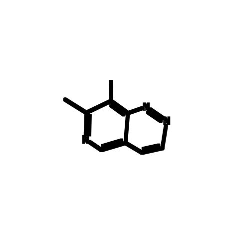 Cc1ncc2ccnnc2c1C